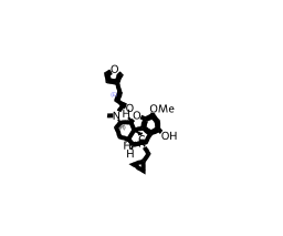 COc1cc(O)c2c3c1O[C@H]1[C@H](N(C)C(=O)/C=C/c4ccoc4)CC[C@H]4[C@@H](C2)N(CC2CC2)CC[C@@]341